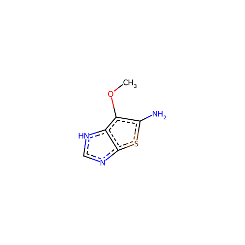 COc1c(N)sc2nc[nH]c12